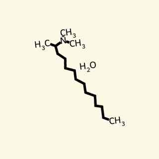 CCCCCCCCCCCCC(C)N(C)C.O